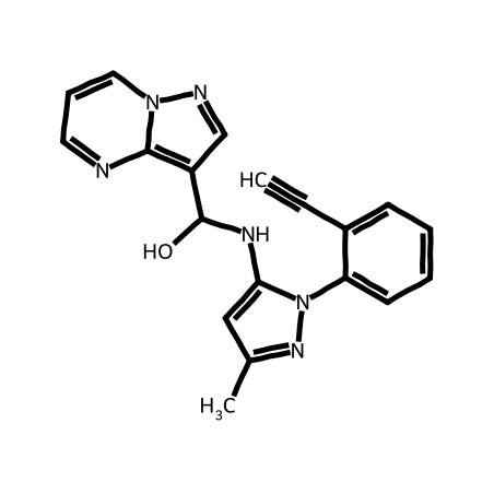 C#Cc1ccccc1-n1nc(C)cc1NC(O)c1cnn2cccnc12